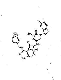 CC1=C(C(=O)OCc2ccc([N+](=O)[O-])cc2)N2C(=O)C(NC(=O)CN(C(=O)OC(C)(C)C)c3csc4ccc(Cl)cc34)[C@@H]2SC1